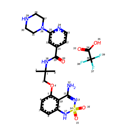 CC(C)(COc1cccc2c1C(N)=NS(=O)(=O)N2)NC(=O)c1ccnc(N2CCNCC2)c1.O=C(O)C(F)(F)F